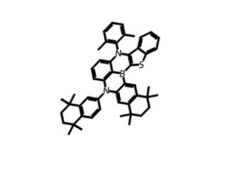 Cc1cccc(C)c1N1c2cccc3c2B(c2cc4c(cc2N3c2ccc3c(c2)C(C)(C)CCC3(C)C)C(C)(C)CCC4(C)C)c2sc3ccccc3c21